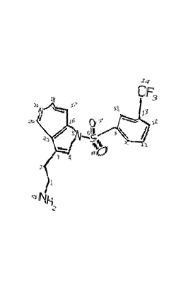 NCCc1cn(S(=O)(=O)c2cccc(C(F)(F)F)c2)c2ccncc12